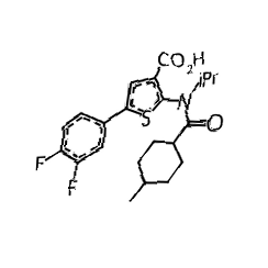 CC1CCC(C(=O)N(c2sc(-c3ccc(F)c(F)c3)cc2C(=O)O)C(C)C)CC1